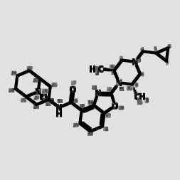 C[C@H]1CN(CC2CC2)C[C@H](C)N1c1nc2c(C(=O)NC3CC4CCCC(C3)N4C)cccc2o1